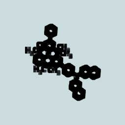 CC1(C)c2cccc3c2N2c4c1cc(-c1ccccc1)cc4C(C)(C)c1cc(-c4ccc(N(c5ccc6ccccc6c5)c5ccc6ccccc6c5)cc4)cc(c12)C3(C)C